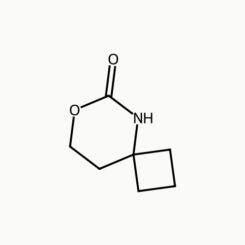 O=C1NC2(CCC2)CCO1